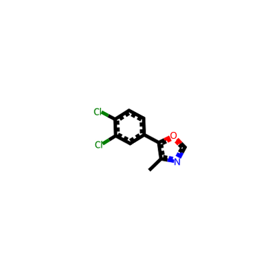 Cc1ncoc1-c1ccc(Cl)c(Cl)c1